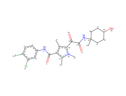 Cc1c(C(=O)Nc2ccc(F)c(Cl)c2)c(C)n(C)c1C(=O)C(=O)NC1(C)CCC(O)CC1